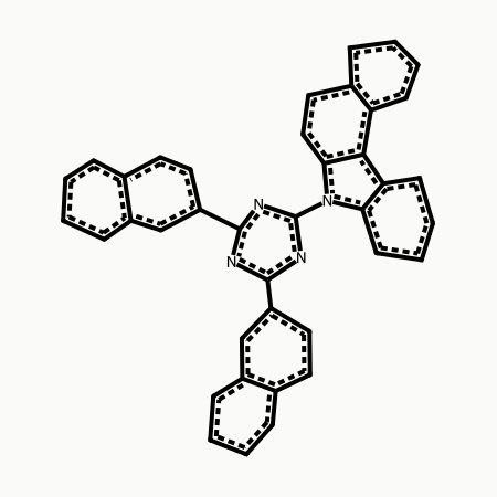 c1ccc2cc(-c3nc(-c4ccc5ccccc5c4)nc(-n4c5ccccc5c5c6ccccc6ccc54)n3)ccc2c1